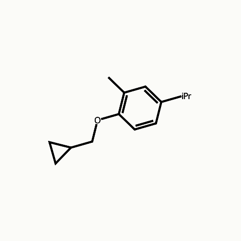 Cc1cc(C(C)C)ccc1OCC1CC1